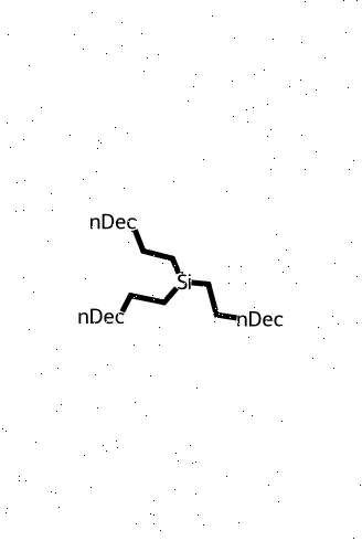 CCCCCCCCCCCC[Si](CCCCCCCCCCCC)CCCCCCCCCCCC